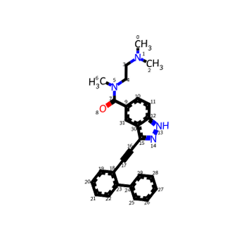 CN(C)CCN(C)C(=O)c1ccc2[nH]nc(C#Cc3ccccc3-c3ccccc3)c2c1